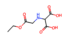 CCOC(=O)CNC(C(=O)O)C(=O)O